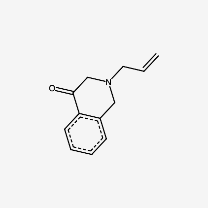 C=CCN1CC(=O)c2ccccc2C1